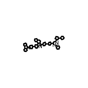 c1ccc(-c2cccc(-c3cc(-c4ccc(-c5ccc(-c6nc7ccc(-c8ccc(-n9c%10ccccc%10c%10ccccc%109)cc8)cc7c7c6ccc6ccccc67)cc5)cc4)nc(-c4ccccc4)n3)c2)cc1